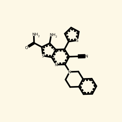 N#Cc1c(N2CCc3ccccc3C2)nc2sc(C(N)=O)c(N)c2c1-c1cccs1